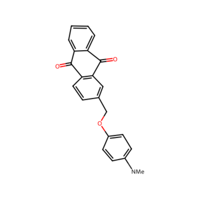 CNc1ccc(OCc2ccc3c(c2)C(=O)c2ccccc2C3=O)cc1